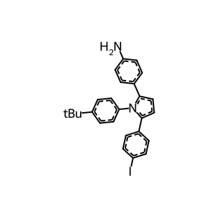 CC(C)(C)c1ccc(-n2c(-c3ccc(N)cc3)ccc2-c2ccc(I)cc2)cc1